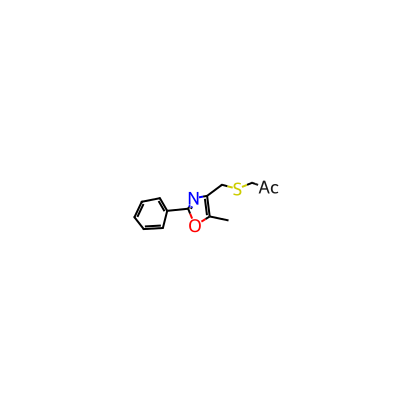 CC(=O)CSCc1nc(-c2ccccc2)oc1C